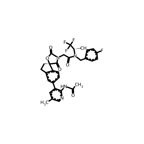 CC(=O)Nc1ncc(C)cc1-c1ccc2c(c1)CC[C@@]21OC(=O)N(CC(=O)N(Cc2ccc(F)cc2)[C@@H](C)C(F)(F)F)C1=O